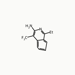 CCc1nc(N)c(C(F)(F)F)c2ccccc12